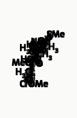 CNC(=O)C[C@H](OC(=O)[C@@H](C)N(C)C(=O)CCSSC)[C@]1(C)OC1[C@H](C)[C@@H]1C[C@](O)([C@@H](/C=C/C=C(\C)Cc2ccc(Cl)c(OC)c2)OC)NC(=O)O1